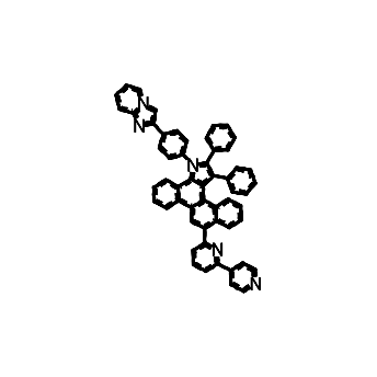 c1ccc(-c2c(-c3ccccc3)n(-c3ccc(-c4cn5ccccc5n4)cc3)c3c4ccccc4c4cc(-c5cccc(-c6ccncc6)n5)c5ccccc5c4c23)cc1